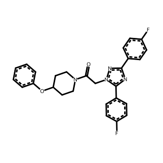 O=C(Cn1nc(-c2ccc(F)cc2)nc1-c1ccc(F)cc1)N1CCC(Oc2ccccc2)CC1